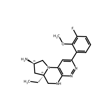 CC[C@@]12CNc3nnc(-c4cccc(F)c4OC)cc3N1C[C@H](N)C2